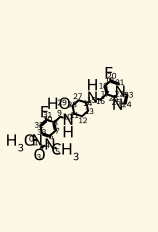 Cn1c(=O)n(C)c2cc(CN[C@H]3CC[C@H](NCc4cc(F)cn5ccnc45)C[C@H]3O)c(F)cc21